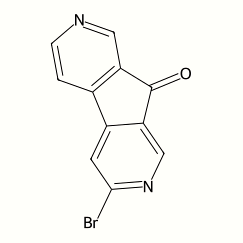 O=C1c2cnccc2-c2cc(Br)ncc21